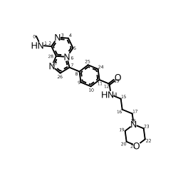 CNc1nccn2c(-c3ccc(C(=O)NCCCN4CCOCC4)cc3)cnc12